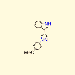 COc1ccc(-n2cc(-c3c[nH]c4ccccc34)cn2)cc1